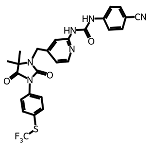 CC1(C)C(=O)N(c2ccc(SC(F)(F)F)cc2)C(=O)N1Cc1ccnc(NC(=O)Nc2ccc(C#N)cc2)c1